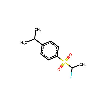 CC(C)c1ccc(S(=O)(=O)C(C)F)cc1